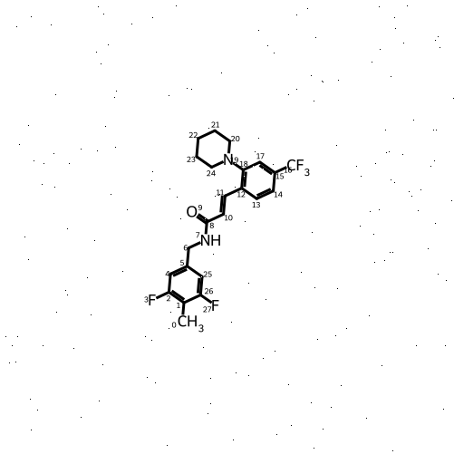 Cc1c(F)cc(CNC(=O)/C=C/c2ccc(C(F)(F)F)cc2N2CCCCC2)cc1F